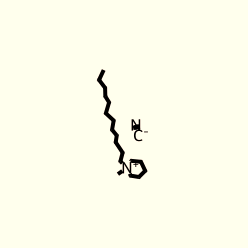 CCCCCCCCCCCC[N+]1(C)CCCCC1.[C-]#N